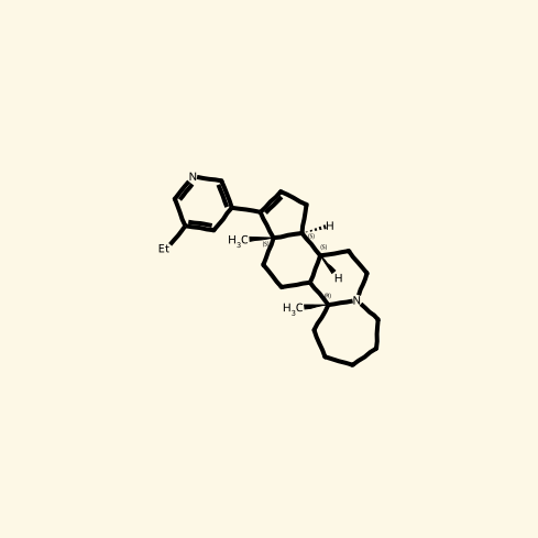 CCc1cncc(C2=CC[C@H]3[C@@H]4CCN5CCCCC[C@]5(C)C4CC[C@]23C)c1